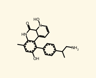 Cc1cc(O)c(-c2ccc(C(C)CN)cc2)c2c1NC(=O)C1C2=CC=CN1O